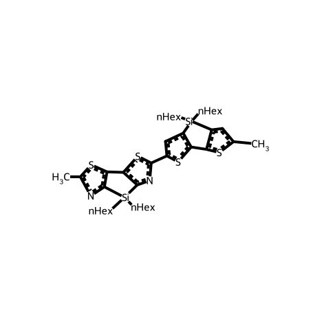 CCCCCC[Si]1(CCCCCC)c2cc(C)sc2-c2sc(-c3nc4c(s3)-c3sc(C)nc3[Si]4(CCCCCC)CCCCCC)cc21